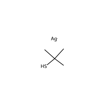 CC(C)(C)S.[Ag]